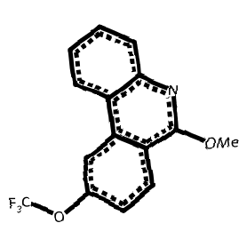 COc1nc2ccccc2c2cc(OC(F)(F)F)ccc12